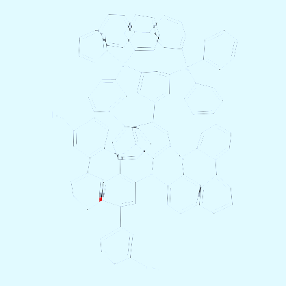 CC(C)(C)c1cccc(-c2ccc3c(c2)B2c4ccccc4N(c4ccccc4-c4ccccc4)c4cc(-c5cc([Si](c6ccccc6)(c6ccccc6)c6cccc(-c7ccccc7)c6)cc([Si](c6ccccc6)(c6ccccc6)c6cccc(-c7ccccc7)c6)c5)cc(c42)N3c2ccc(C(C)(C)C)cc2-c2ccccc2)c1